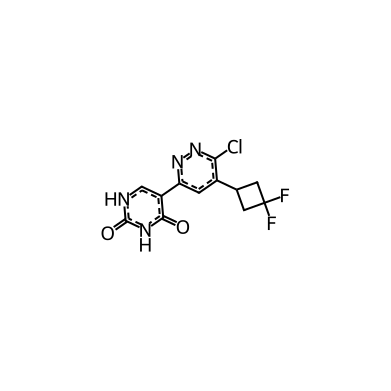 O=c1[nH]cc(-c2cc(C3CC(F)(F)C3)c(Cl)nn2)c(=O)[nH]1